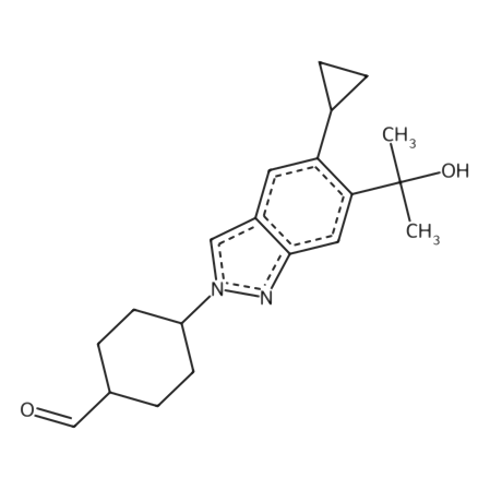 CC(C)(O)c1cc2nn(C3CCC(C=O)CC3)cc2cc1C1CC1